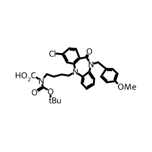 COc1ccc(CN2C(=O)c3ccc(Cl)cc3N(CCCCN(C(=O)O)C(=O)OC(C)(C)C)c3ccccc32)cc1